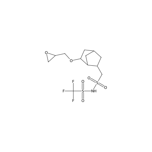 O=S(=O)(CC1CC2CC(OCC3CO3)C1C2)NS(=O)(=O)C(F)(F)F